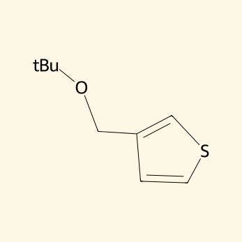 CC(C)(C)OCc1ccsc1